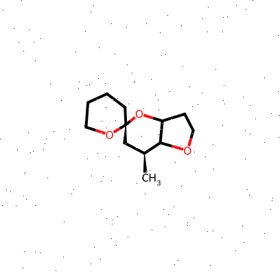 C[C@H]1C[C@@]2(CCCCO2)OC2CCOC21